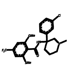 COc1cc(C(F)(F)F)cc(SC)c1C(=O)NC1(c2cccc(Cl)c2)CCCN(C)C1